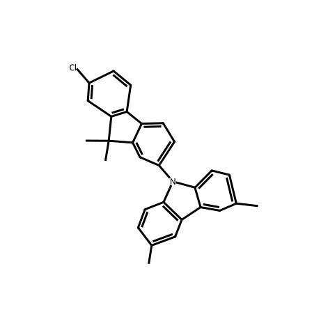 Cc1ccc2c(c1)c1cc(C)ccc1n2-c1ccc2c(c1)C(C)(C)c1cc(Cl)ccc1-2